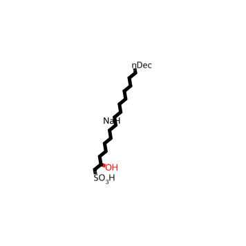 CCCCCCCCCCCCCCCCCCCCCCCCC(O)CS(=O)(=O)O.[NaH]